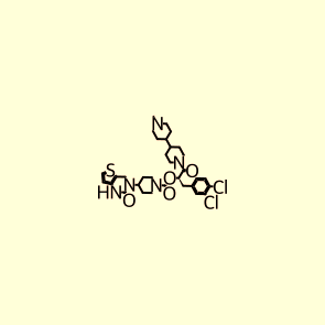 CN1CCC(C2CCN(C(=O)[C@@H](Cc3ccc(Cl)c(Cl)c3)OC(=O)N3CCC(N4Cc5sccc5NC4=O)CC3)CC2)CC1